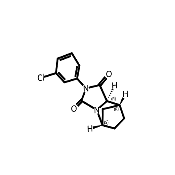 O=C1[C@H]2[C@@H]3CC[C@@H](C3)N2C(=O)N1c1cccc(Cl)c1